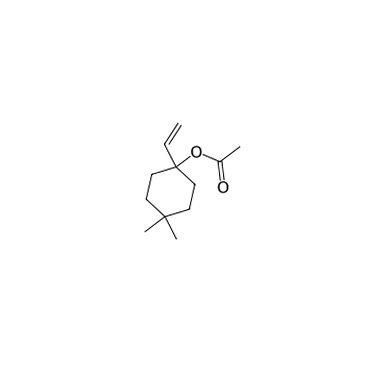 C=CC1(OC(C)=O)CCC(C)(C)CC1